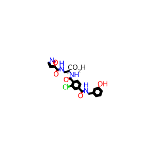 O=C(NCc1cccc(O)c1)c1ccc(C(=O)N[C@@H](CNC(=O)c2ccno2)C(=O)O)c(Cl)c1